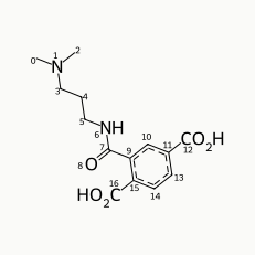 CN(C)CCCNC(=O)c1cc(C(=O)O)ccc1C(=O)O